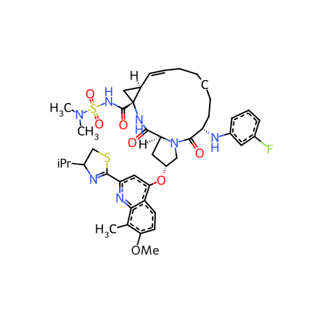 COc1ccc2c(O[C@@H]3C[C@H]4C(=O)N[C@]5(C(=O)NS(=O)(=O)N(C)C)C[C@H]5/C=C\CCCCC[C@H](Nc5cccc(F)c5)C(=O)N4C3)cc(C3=NC(C(C)C)CS3)nc2c1C